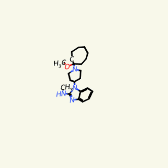 CNc1nc2ccccc2n1C1CCN(C2(OC)CCCCCCC2)CC1